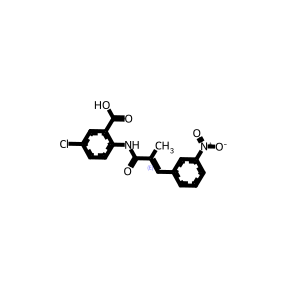 C/C(=C\c1cccc([N+](=O)[O-])c1)C(=O)Nc1ccc(Cl)cc1C(=O)O